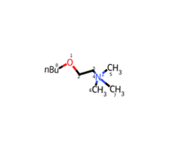 CCCCOCC[N+](C)(C)C